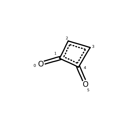 O=c1ccc1=O